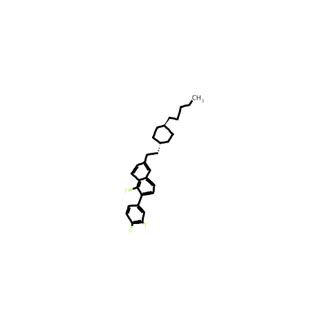 CCCCC[C@H]1CC[C@H](CCc2ccc3c(F)c(-c4ccc(F)c(F)c4)ccc3c2)CC1